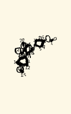 CCO[C@H]1CC[C@H](N2C[C@@H](c3ccc(OC)cc3)[C@](OC)(C(=O)O)C2)CC1